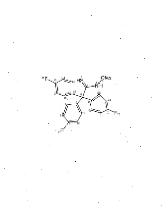 CONC(=N)C(c1ccc(F)cc1)(c1ccc(F)cc1)c1ccc(F)cc1